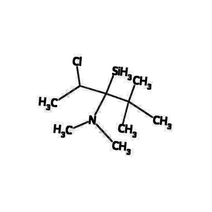 CC(Cl)C([SiH3])(N(C)C)C(C)(C)C